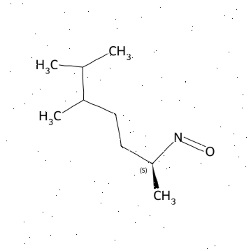 CC(C)C(C)CC[C@H](C)N=O